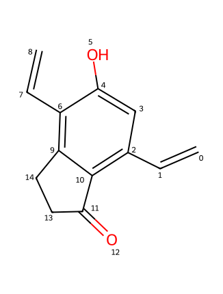 C=Cc1cc(O)c(C=C)c2c1C(=O)CC2